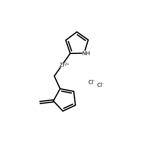 C=C1C=CC=C1[CH2][Zr+2][c]1ccc[nH]1.[Cl-].[Cl-]